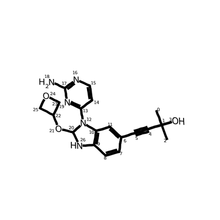 CC(C)(O)C#Cc1ccc2c(c1)N(c1ccnc(N)n1)C(OC1COC1)N2